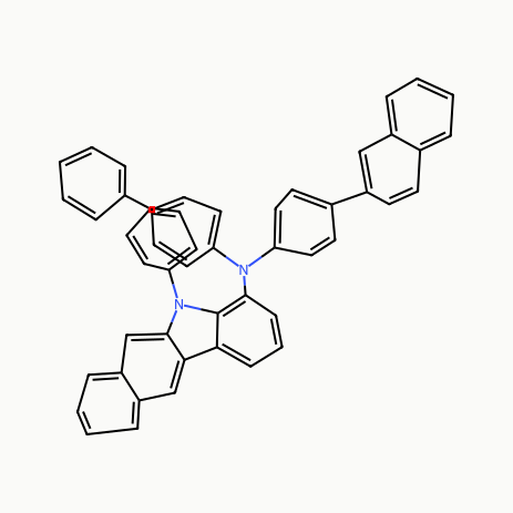 c1ccc(-c2ccc(N(c3ccc(-c4ccc5ccccc5c4)cc3)c3cccc4c5cc6ccccc6cc5n(-c5ccccc5)c34)cc2)cc1